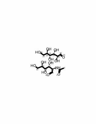 CC(=O)N[C@@H](C=O)[C@@H](O)[C@H](O)[C@H](O)CO.O=C[C@@H](O)[C@@H](O)[C@H](O)[C@H](O)CO